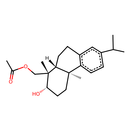 CC(=O)OC[C@@]1(C)[C@@H](O)CC[C@]2(C)c3ccc(C(C)C)cc3CC[C@@H]12